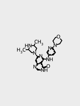 CC1CN(c2cc3nc[nH]c(=O)c3c(Nc3ccc(N4CCOCC4)nc3)n2)CC(C)N1